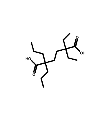 CCCC(CCC)(CCC(CC)(CC)C(=O)O)C(=O)O